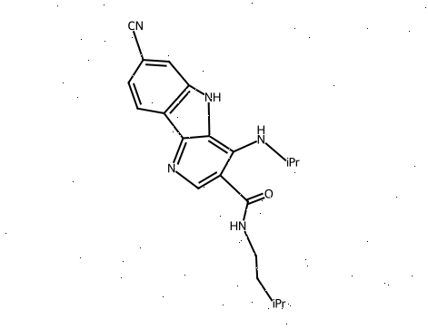 CC(C)CCNC(=O)c1cnc2c([nH]c3cc(C#N)ccc32)c1NC(C)C